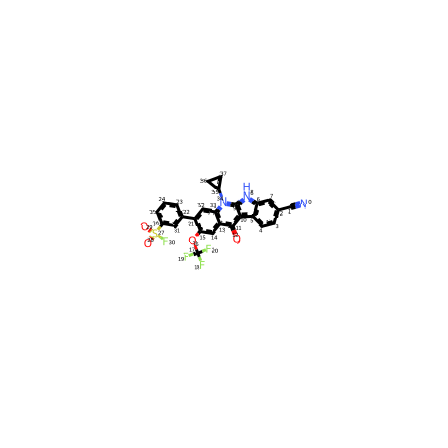 N#Cc1ccc2c(c1)[nH]c1c2c(=O)c2cc(OC(F)(F)F)c(-c3cccc(S(=O)(=O)F)c3)cc2n1C1CC1